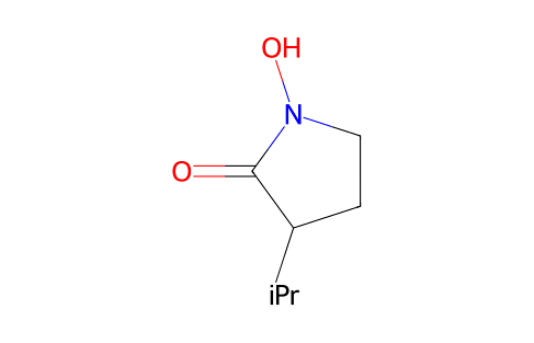 CC(C)C1CCN(O)C1=O